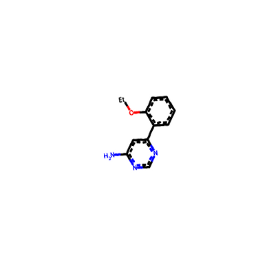 CCOc1ccccc1-c1cc(N)ncn1